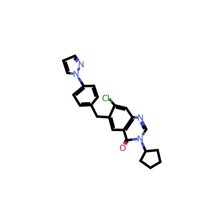 O=c1c2cc(Cc3ccc(-n4cccn4)cc3)c(Cl)cc2ncn1C1CCCC1